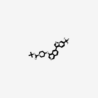 CC(C)(C)OC(=O)N1CCC(Oc2cncc3ccc(-c4cnn5cc(C(F)(F)F)ccc45)cc23)CC1